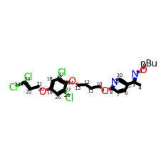 CCCCON=C(C)c1ccc(OCCCCOc2c(Cl)cc(OCC=C(Cl)Cl)cc2Cl)nc1